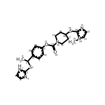 CC(Sc1ncc[nH]1)c1ccc(OC(=O)N2CCC(Sc3nccn3C)CC2)cc1